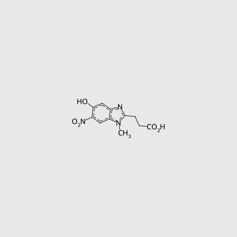 Cn1c(CCC(=O)O)nc2cc(O)c([N+](=O)[O-])cc21